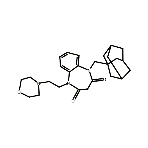 O=C1[C]C(=O)N(CC23CC4CC(CC(C4)C2)C3)c2ccccc2N1CCN1CCOCC1